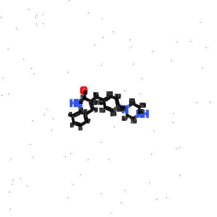 O=c1[nH]c2ccccc2cc1Cc1ccc(N2CCNCC2)cc1